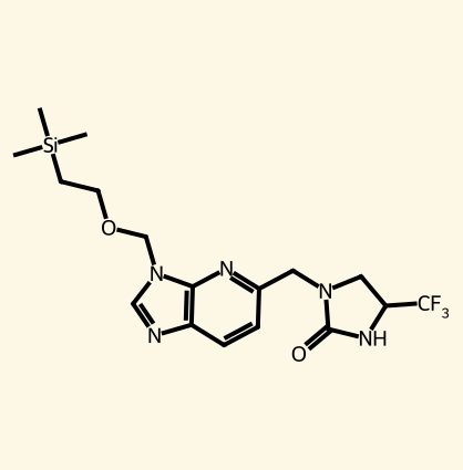 C[Si](C)(C)CCOCn1cnc2ccc(CN3CC(C(F)(F)F)NC3=O)nc21